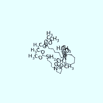 COC(OC)[SiH2]CCCN1CCC[Si]1(OC)OC.CO[Si](CCCCCN1CCCCC[Si]1(OC)OC)(OC)OC